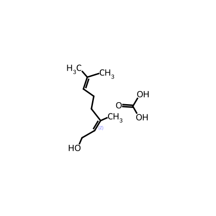 CC(C)=CCC/C(C)=C\CO.O=C(O)O